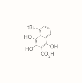 CC(C)(C)c1cccc2c(O)c(C(=O)O)c(O)c(O)c12